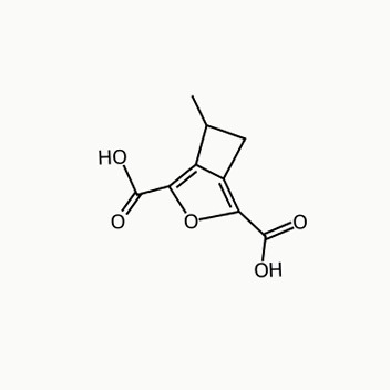 CC1Cc2c(C(=O)O)oc(C(=O)O)c21